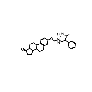 CN(N)C(CNCOc1ccc2c(c1)CCC1C2CC[C@]2(C)C(=O)CCC12)c1ccccc1